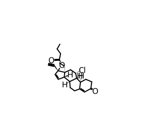 C#C[C@]1(OC(=O)CCC)C=C[C@H]2[C@@H]3CCC4=CC(=O)CC[C@@H]4[C@H]3[C@@H](Cl)C[C@@]21CC